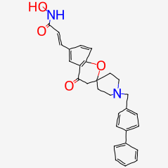 O=C(C=Cc1ccc2c(c1)C(=O)CC1(CCN(Cc3ccc(-c4ccccc4)cc3)CC1)O2)NO